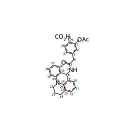 CC(=O)Oc1cc(CC(=O)NC(c2ccccc2)c2ccccc2N2CCCCC2)ccc1C(=O)O